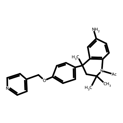 CC(=O)N1c2ccc(N)cc2C(C)(c2ccc(OCc3ccncc3)cc2)CC1(C)C